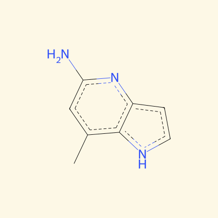 Cc1cc(N)nc2cc[nH]c12